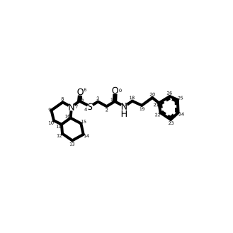 O=C(CCSC(=O)N1CCCC2CCCCC21)NCCCc1ccccc1